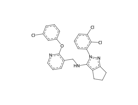 Clc1cccc(Oc2ncccc2CNc2c3c(nn2-c2cccc(Cl)c2Cl)CCC3)c1